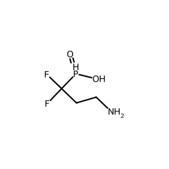 NCCC(F)(F)[PH](=O)O